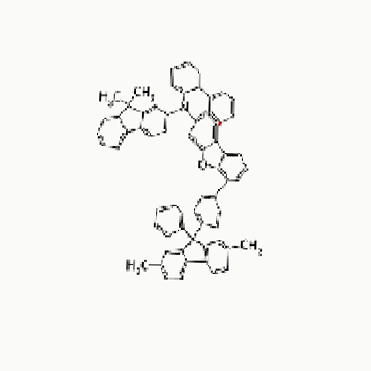 Cc1ccc2c(c1)C(c1ccccc1)(c1ccc(-c3cccc4c3oc3cc(N(c5ccc6c(c5)C(C)(C)c5ccccc5-6)c5ccccc5-c5ccccc5)ccc34)cc1)c1cc(C)ccc1-2